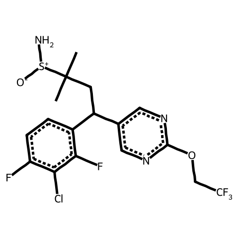 CC(C)(CC(c1cnc(OCC(F)(F)F)nc1)c1ccc(F)c(Cl)c1F)[S+](N)[O-]